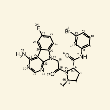 C[C@@H]1CC[C@@H](C(=O)Nc2cccc(Br)n2)N1C(=O)Cn1c2ccc(F)cc2c2c(N)ncnc21